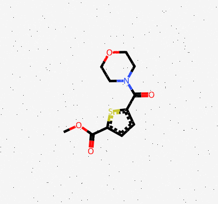 COC(=O)c1ccc(C(=O)N2CCOCC2)s1